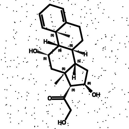 C[C@]12C[C@H](O)[C@H]3[C@@H](CCC4=CCC=C[C@@]43C)[C@@H]1C[C@@H](O)[C@@H]2C(=O)CO